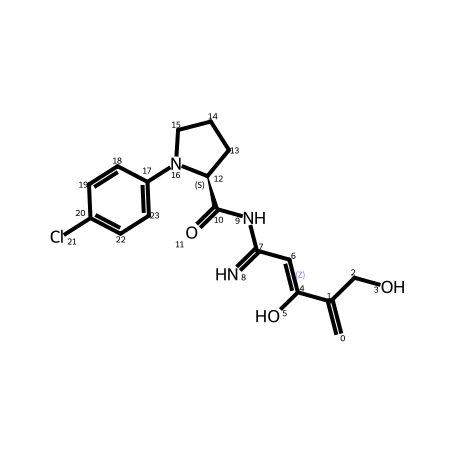 C=C(CO)/C(O)=C/C(=N)NC(=O)[C@@H]1CCCN1c1ccc(Cl)cc1